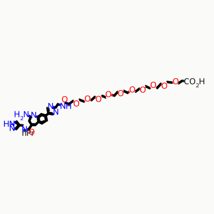 CCCN(Cc1cn[nH]c1)C(=O)C1=Cc2ccc(-c3cnc(CNC(=O)CCOCCOCCOCCOCCOCCOCCOCCOCCOCCOCCC(=O)O)nc3)cc2N=C(N)C1